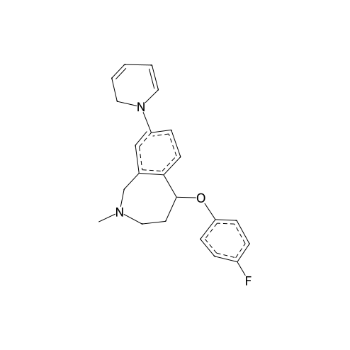 CN1CCC(Oc2ccc(F)cc2)c2ccc(N3C=CC=CC3)cc2C1